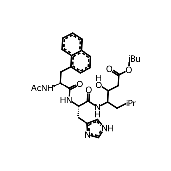 CCC(C)OC(=O)CC(O)C(CC(C)C)NC(=O)[C@H](Cc1c[nH]cn1)NC(=O)[C@H](Cc1cccc2ccccc12)NC(C)=O